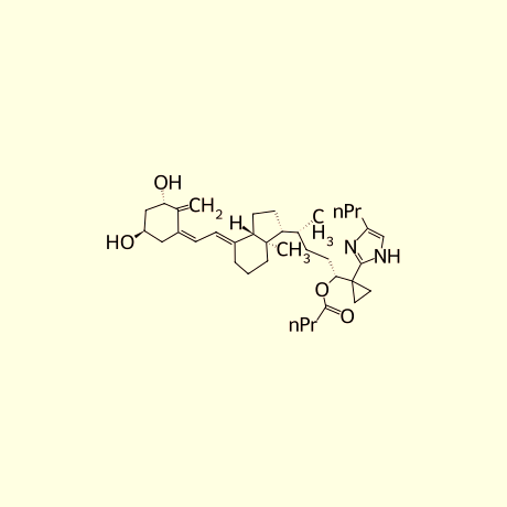 C=C1/C(=C\C=C2/CCC[C@]3(C)[C@@H]([C@H](C)CC[C@@H](OC(=O)CCC)C4(c5nc(CCC)c[nH]5)CC4)CC[C@@H]23)C[C@@H](O)C[C@@H]1O